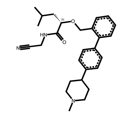 CC(C)C[C@H](OCc1ccccc1-c1ccc(C2CCN(C)CC2)cc1)C(=O)NCC#N